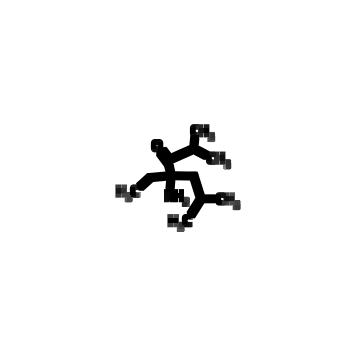 CCC(N)(CC(C)C)C(=O)C(C)C